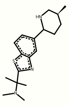 C[C@H]1CCC(c2ccc3sc(C(C)(C)N(C)C)nc3c2)NC1